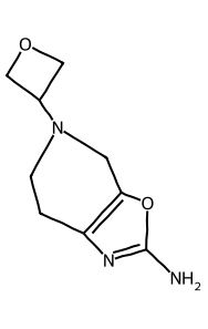 Nc1nc2c(o1)CN(C1COC1)CC2